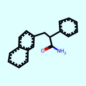 NC(=O)C(Cc1ccc2ccccc2c1)c1ccccc1